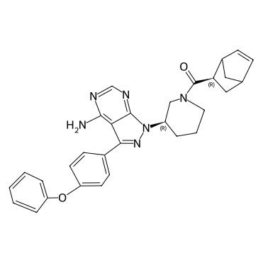 Nc1ncnc2c1c(-c1ccc(Oc3ccccc3)cc1)nn2[C@@H]1CCCN(C(=O)[C@@H]2CC3C=CC2C3)C1